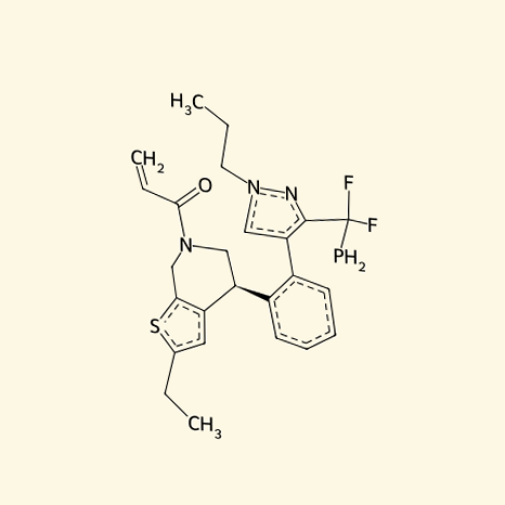 C=CC(=O)N1Cc2sc(CC)cc2[C@H](c2ccccc2-c2cn(CCC)nc2C(F)(F)P)C1